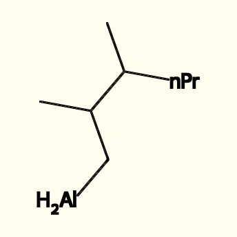 CCCC(C)C(C)[CH2][AlH2]